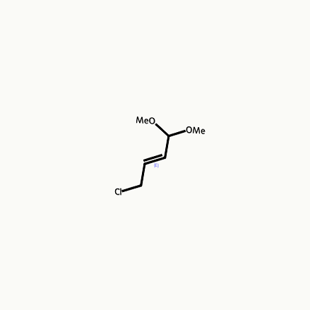 COC(/C=C/CCl)OC